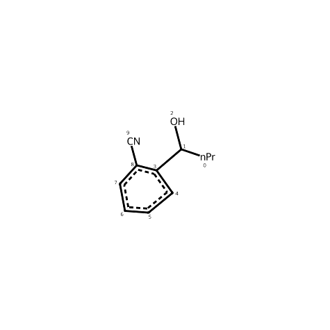 CCCC(O)c1ccccc1C#N